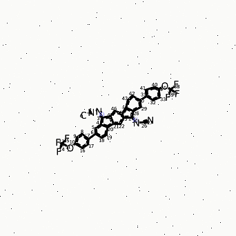 [C-]#[N+]/N=c1\c2cc(-c3ccc(OC(F)(F)F)cc3)ccc2c2cc3/c(=N/C#N)c4cc(-c5ccc(OC(F)(F)F)cc5)ccc4c3cc12